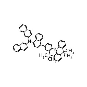 CC1(C)c2ccccc2N2c3ccc(-c4ccc(N(c5ccc6ccccc6c5)c5ccc6ccccc6c5)c5ccccc45)cc3C(C)(C)c3cccc1c32